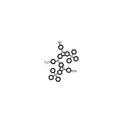 [C-]#[N+]c1ccc(-n2c3ccc(N(c4ccc(C(F)(F)F)cc4)c4ccc5c(c4)c4cc([Si](c6ccccc6)(c6ccccc6)c6ccccc6)ccc4n5-c4ccc(C#N)cc4)cc3c3cc([Si](c4ccccc4)(c4ccccc4)c4ccccc4)ccc32)cc1